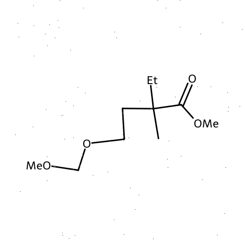 CCC(C)(CCOCOC)C(=O)OC